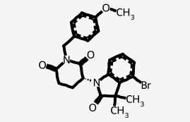 COc1ccc(CN2C(=O)CC[C@@H](N3C(=O)C(C)(C)c4c(Br)cccc43)C2=O)cc1